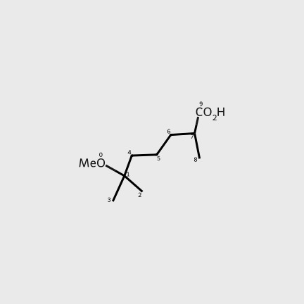 COC(C)(C)CCCC(C)C(=O)O